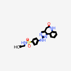 C#CCNS(=O)(=O)c1ccc(Nc2ncc3c(n2)-c2ccccc2NC(=O)C3)cc1